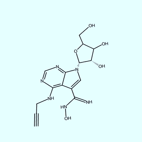 C#CCNc1ncnc2c1c(C(=N)NO)cn2[C@@H]1OC(CO)C(O)[C@@H]1O